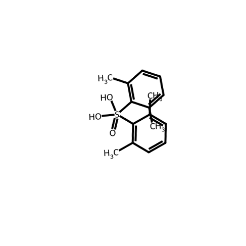 Cc1cccc(C)c1S(=O)(O)(O)c1c(C)cccc1C